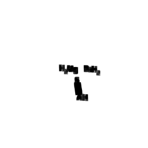 [AlH]=[S].[BaH2].[MgH2]